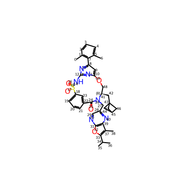 Cc1cccc(C)c1-c1cc2nc(n1)NS(=O)(=O)c1cccc(c1)C(=O)N(Cc1cnc3oc(C(C)C)c(C)c3n1)[C@H](CC13CC(C1)C3)CO2